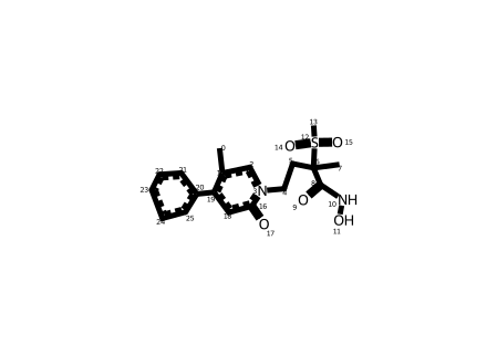 Cc1cn(CCC(C)(C(=O)NO)S(C)(=O)=O)c(=O)cc1-c1ccccc1